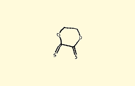 S=C1OCCOC1=S